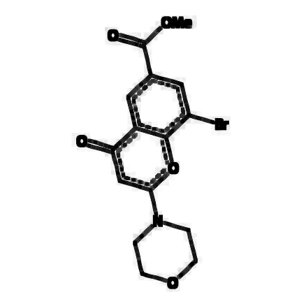 COC(=O)c1cc(Br)c2oc(N3CCOCC3)cc(=O)c2c1